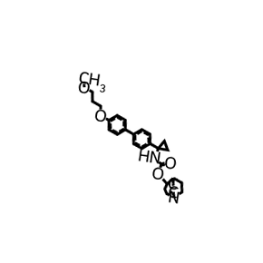 COCCCOc1ccc(-c2ccc(C3(NC(=O)OC4CCN5CCC4CC5)CC3)cc2)cc1